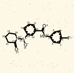 O=C(Nc1ccc(F)cc1)c1cccc([S+]([O-])N2CCCCC2=O)c1